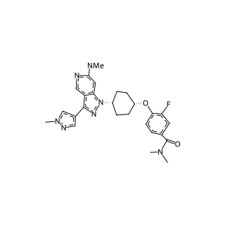 CNc1cc2c(cn1)c(-c1cnn(C)c1)nn2[C@H]1CC[C@@H](Oc2ccc(C(=O)N(C)C)cc2F)CC1